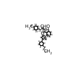 C=CCc1cccc(-c2ccn(-c3ncccc3C(=O)N[C@H](C=O)Cc3ccc(C)cc3)n2)c1